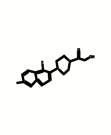 Cc1ccc2c(F)c(N3CCN(C(=O)CO)CC3)ccc2c1